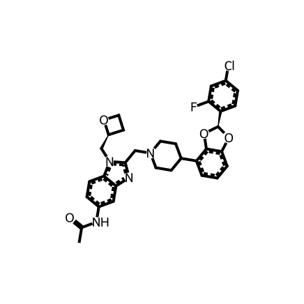 CC(=O)Nc1ccc2c(c1)nc(CN1CCC(c3cccc4c3O[C@@H](c3ccc(Cl)cc3F)O4)CC1)n2C[C@@H]1CCO1